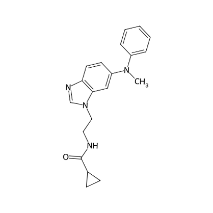 CN(c1ccccc1)c1ccc2ncn(CCNC(=O)C3CC3)c2c1